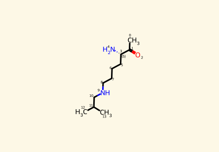 CC(=O)[C@@H](N)CCCCNCC(C)C